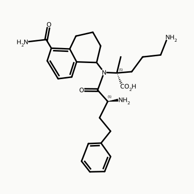 C[C@](CCCN)(C(=O)O)N(C(=O)[C@@H](N)CCc1ccccc1)C1CCCc2c(C(N)=O)cccc21